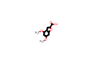 COc1cc(OC)c2cc(C(=O)O)oc2c1